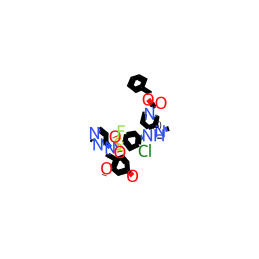 COc1ccc(CN(c2ccncn2)S(=O)(=O)c2cc(Cl)c(NC3CCN(C(=O)OCc4ccccc4)C[C@@H]3N(C)C)cc2F)c(OC)c1